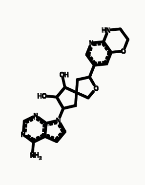 Nc1ncnc2c1ccn2C1CC2(COC(c3cnc4c(c3)OCCN4)C2)C(O)C1O